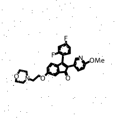 COc1ccc(C2=C(c3ccc(F)cc3F)c3ccc(OCCN4CCOCC4)cc3C2=O)cn1